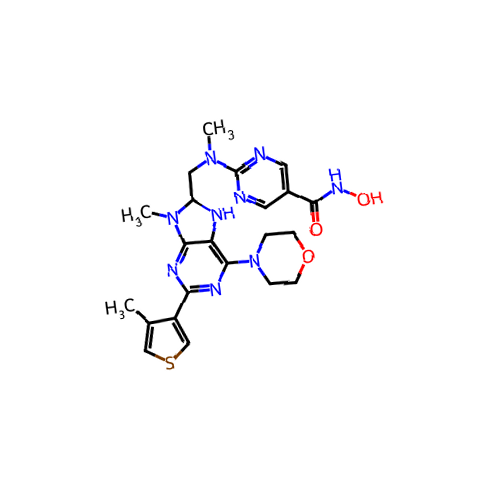 Cc1cscc1-c1nc(N2CCOCC2)c2c(n1)N(C)C(CN(C)c1ncc(C(=O)NO)cn1)N2